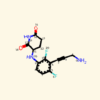 NCC#Cc1c(F)ccc(NC2CCC(=O)NC2=O)c1F